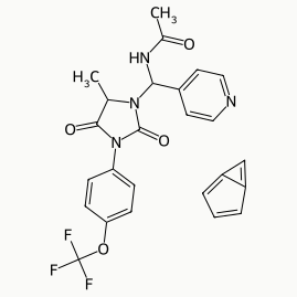 CC(=O)NC(c1ccncc1)N1C(=O)N(c2ccc(OC(F)(F)F)cc2)C(=O)C1C.c1cc2cc-2c1